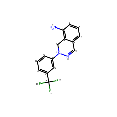 Nc1cccc2c1CN(c1cccc(C(F)(F)F)c1)N=C2